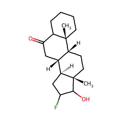 C[C@]12CCCCC1C(=O)C[C@@H]1[C@H]2CC[C@]2(C)C(O)C(F)C[C@@H]12